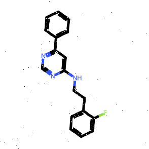 Fc1ccccc1CCNc1cc(-c2ccccc2)ncn1